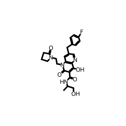 CC(CO)NC(=O)c1c(O)c2ncc(Cc3ccc(F)cc3)cc2n(CCN2CCCC2=O)c1=O